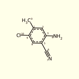 Cc1cc(N)c(C#N)cc1Cl